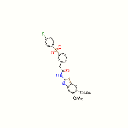 COc1cc2nc(NC(=O)Cc3cccc(S(=O)(=O)c4ccc(F)cc4)c3)sc2cc1OC